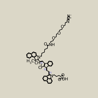 CC1(C)C(/C=C/C2=C(Cl)C(=C/C=c3\c4cccc5cccc(c54)n3CCCS(=O)(=O)O)/c3ccccc32)=[N+](CCCCCC(=O)NCCOCCOCCOCCN=[N+]=[N-])c2ccc3ccccc3c21